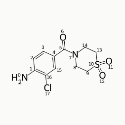 Nc1ccc(C(=O)N2CCS(=O)(=O)CC2)cc1Cl